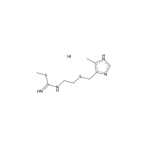 CSC(=N)NCCSCc1nc[nH]c1C.I